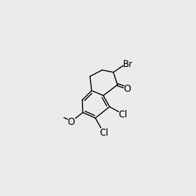 COc1cc2c(c(Cl)c1Cl)C(=O)C(Br)CC2